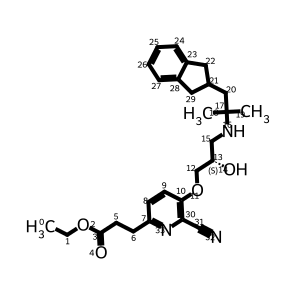 CCOC(=O)CCc1ccc(OC[C@@H](O)CNC(C)(C)CC2Cc3ccccc3C2)c(C#N)n1